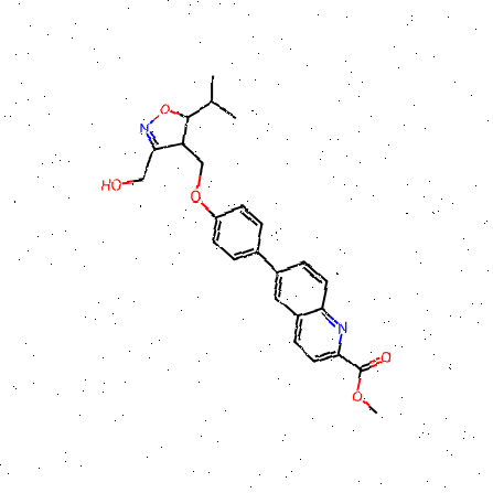 COC(=O)c1ccc2cc(-c3ccc(OCC4C(CO)=NOC4C(C)C)cc3)ccc2n1